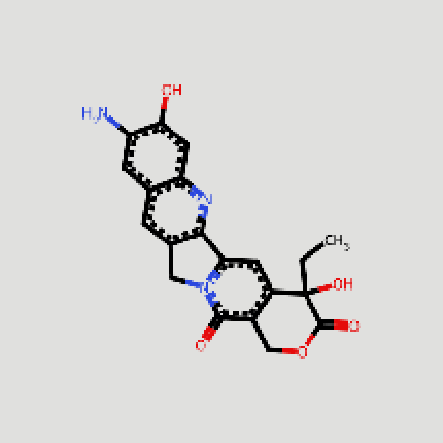 CCC1(O)C(=O)OCc2c1cc1n(c2=O)Cc2cc3cc(N)c(O)cc3nc2-1